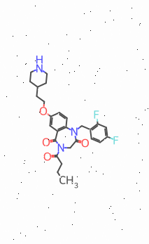 CCCC(=O)N1CC(=O)N(Cc2ccc(F)cc2F)c2ccc(OCCC3CCNCC3)cc2C1=O